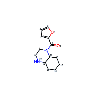 O=C(c1ccco1)N1CCNC2CCCCC21